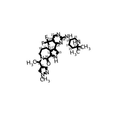 CC(c1cnn(C)c1)N1CCCc2c(-c3nc(N[C@H]4CCC(C)(C)NC4)ncc3C(F)(F)F)c[nH]c2C1=O